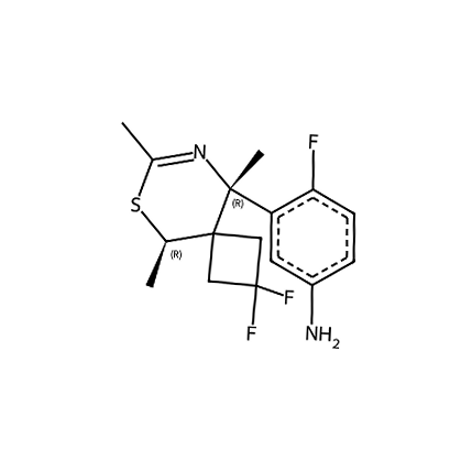 CC1=N[C@](C)(c2cc(N)ccc2F)C2(CC(F)(F)C2)[C@@H](C)S1